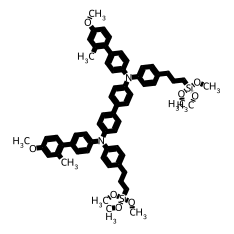 COc1ccc(-c2ccc(N(c3ccc(CCC[Si](OC)(OC)OC)cc3)c3ccc(-c4ccc(N(c5ccc(CCC[Si](OC)(OC)OC)cc5)c5ccc(-c6ccc(OC)cc6C)cc5)cc4)cc3)cc2)c(C)c1